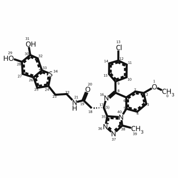 COc1ccc2c(c1)C(c1ccc(Cl)cc1)=N[C@@H](CC(=O)NCCc1cc3cc(O)c(O)cc3s1)c1nnc(C)n1-2